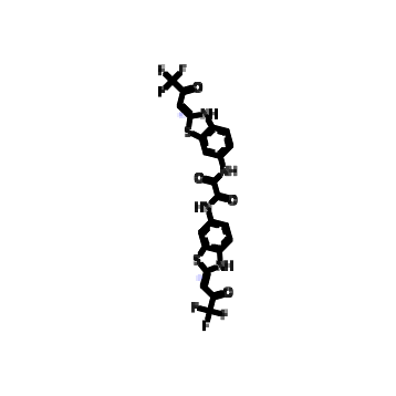 O=C(Nc1ccc2c(c1)S/C(=C/C(=O)C(F)(F)F)N2)C(=O)Nc1ccc2c(c1)S/C(=C/C(=O)C(F)(F)F)N2